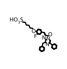 O=C1/C(=C/c2ccc(OCCCCCCS(=O)(=O)O)c(F)c2)N=C2C(Cc3ccccc3)=NC(c3ccccc3)=CN12